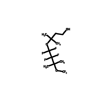 CC(C)(CCO)OC(F)(F)C(F)(F)C(C)(C)OC(F)(F)F